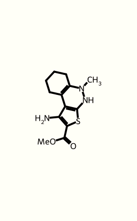 COC(=O)c1sc2c(c1N)C1=C(CCCC1)N(C)N2